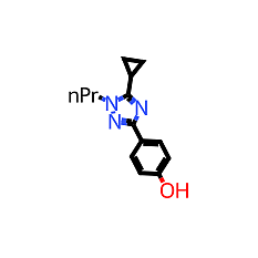 CCCn1nc(-c2ccc(O)cc2)nc1C1CC1